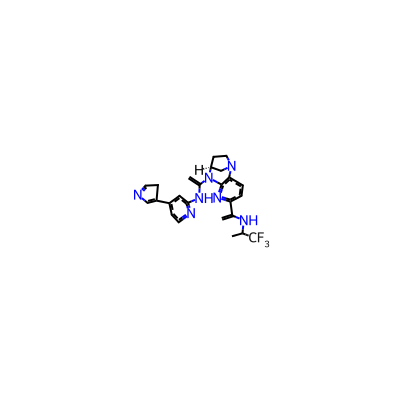 C=C(NC(C)C(F)(F)F)c1ccc2c(n1)N(C(=C)Nc1cc(C3=CN=CC3)ccn1)[C@H]1CCN2C1